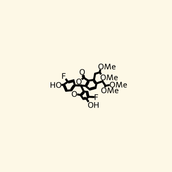 COC(Cc1ccc2c(c1CC(OC)OC)C(=O)OC21c2cc(F)c(O)cc2Oc2cc(O)c(F)cc21)OC